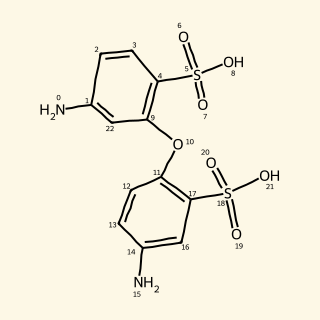 Nc1ccc(S(=O)(=O)O)c(Oc2ccc(N)cc2S(=O)(=O)O)c1